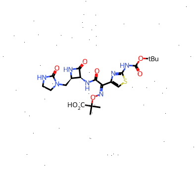 CC(C)(C)OC(=O)Nc1nc(/C(=N/OC(C)(C)C(=O)O)C(=O)N[C@@H]2C(=O)N[C@@H]2CN2CCNC2=O)cs1